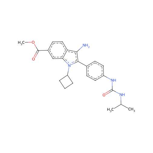 COC(=O)c1ccc2c(N)c(-c3ccc(NC(=O)NC(C)C)cc3)n(C3CCC3)c2c1